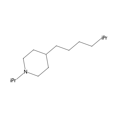 CC(C)CCCCC1CCN(C(C)C)CC1